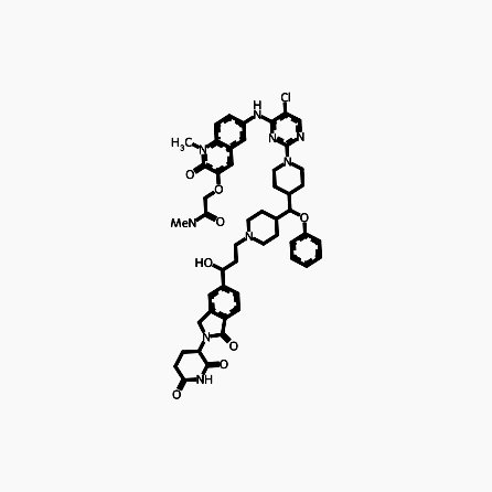 CNC(=O)COc1cc2cc(Nc3nc(N4CCC(C(Oc5ccccc5)C5CCN(CCC(O)c6ccc7c(c6)CN(C6CCC(=O)NC6=O)C7=O)CC5)CC4)ncc3Cl)ccc2n(C)c1=O